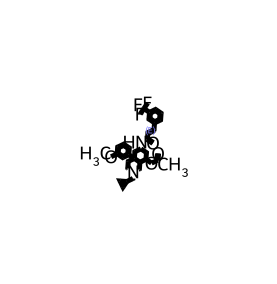 COc1cccc(C23CCN(CC4CC4)CC2C(OC(C)=O)CC(NC(=O)/C=C/c2cccc(C(F)(F)F)c2)C3)c1